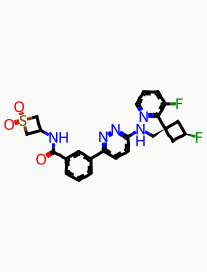 O=C(NC1CS(=O)(=O)C1)c1cccc(-c2ccc(NC[C@]3(c4ncccc4F)C[C@H](F)C3)nn2)c1